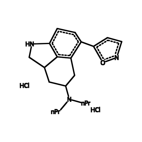 CCCN(CCC)C1Cc2c(-c3ccno3)ccc3c2C(CN3)C1.Cl.Cl